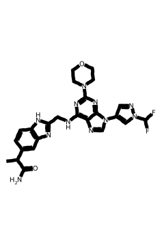 CC(C(N)=O)c1ccc2[nH]c(CNc3nc(N4CCOCC4)nc4c3ncn4-c3cnn(C(F)F)c3)nc2c1